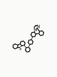 c1ccc(-c2cccc3c2sc2ccccc23)c(-c2ccc(-c3ccc4c(c3)c3ccccc3c3nccn43)cc2)c1